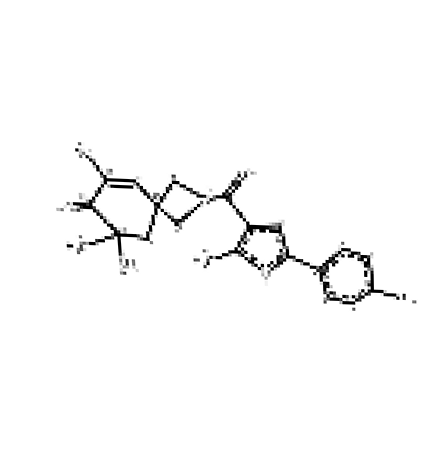 Cc1oc(-c2ccc(F)cc2)cc1C(=O)N1CC2(C=C(C#N)C(=O)C(C)(C)C2)C1